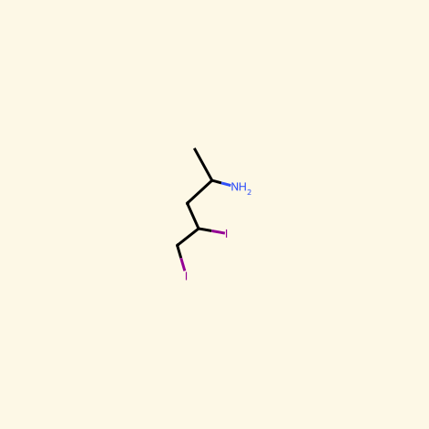 CC(N)CC(I)CI